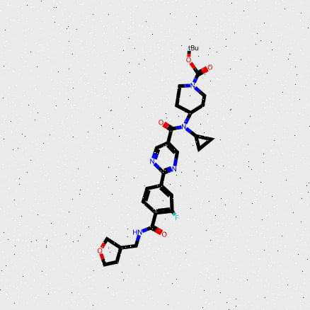 CC(C)(C)OC(=O)N1CCC(N(C(=O)c2cnc(-c3ccc(C(=O)NCC4CCOC4)c(F)c3)nc2)C2CC2)CC1